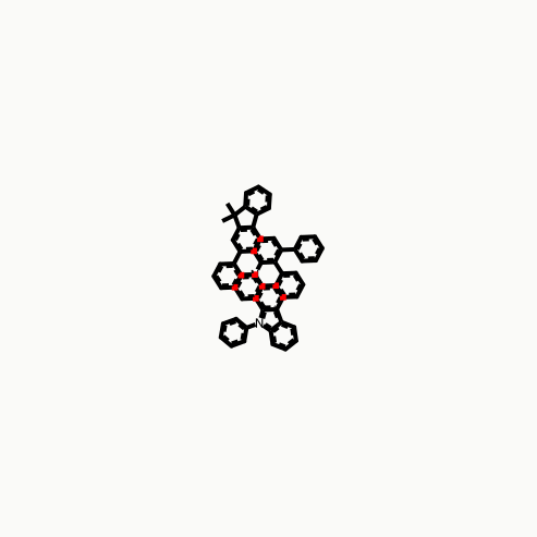 CC1(C)c2ccccc2-c2ccc(-c3ccccc3N(c3ccc4c5ccccc5n(-c5ccccc5)c4c3)c3cccc(-c4ccccc4)c3-c3ccccc3-c3ccccc3)cc21